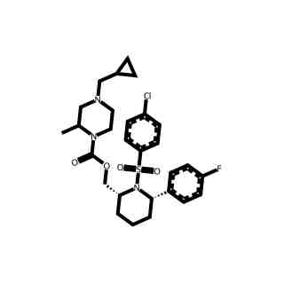 CC1CN(CC2CC2)CCN1C(=O)OC[C@H]1CCC[C@@H](c2ccc(F)cc2)N1S(=O)(=O)c1ccc(Cl)cc1